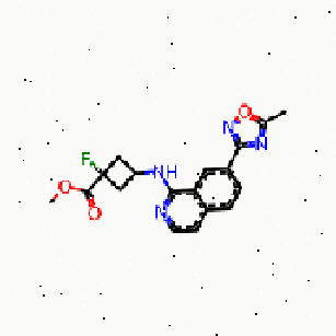 COC(=O)C1(F)CC(Nc2nccc3ccc(-c4noc(C)n4)cc23)C1